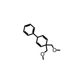 COCC1(COC)C=CC(c2ccccc2)C=C1